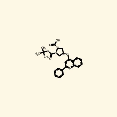 CC(C)(C)OC(=O)N1C[C@H](Oc2cc(-c3ccccc3)nc3ccccc23)C[C@H]1C(=O)O